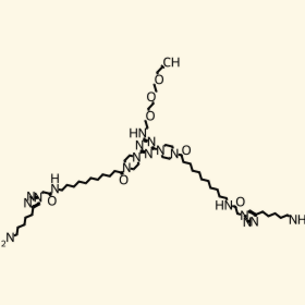 C#CCOCCOCCOCCNc1nc(N2CCN(C(=O)CCCCCCCCCCNC(=O)Cn3cc(CCCCCN)nn3)CC2)nc(N2CCN(C(=O)CCCCCCCCCCNC(=O)Cn3cc(CCCCCN)nn3)CC2)n1